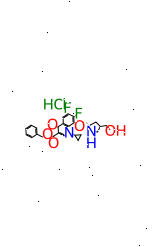 Cl.O=C(OCc1ccccc1)c1cn(C2CC2)c2c(OC[C@@H]3CC(CO)CN3)c(F)c(F)cc2c1=O